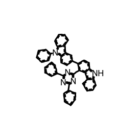 c1ccc(-c2nc(-c3ccccc3)nc(-c3c(-c4ccc5c(c4)c4ccccc4n5-c4ccccc4)ccc4[nH]c5ccccc5c34)n2)cc1